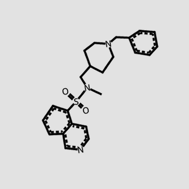 CN(CC1CCN(Cc2ccccc2)CC1)S(=O)(=O)c1cccc2cnccc12